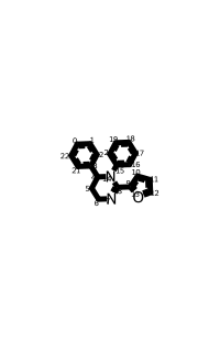 c1ccc(C2CCN=C(c3ccco3)N2c2ccccc2)cc1